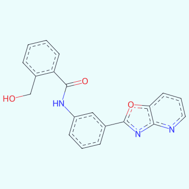 O=C(Nc1cccc(-c2nc3ncccc3o2)c1)c1ccccc1CO